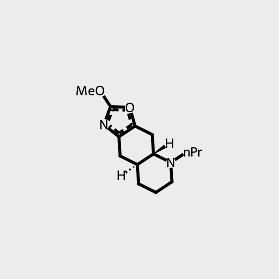 CCCN1CCC[C@H]2Cc3nc(OC)oc3C[C@@H]21